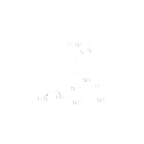 NC(=O)c1cnc(N[C@@H]2CCCC[C@@H]2N)nc1Nc1cccc(-n2ncc[n+]2[O-])c1